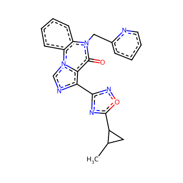 CC1CC1c1nc(-c2ncn3c2c(=O)n(Cc2ccccn2)c2ccccc23)no1